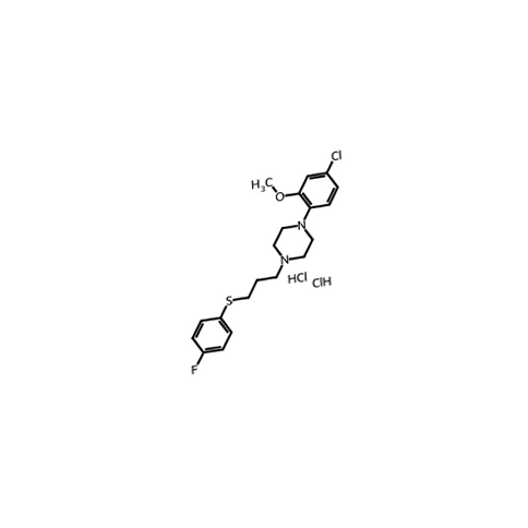 COc1cc(Cl)ccc1N1CCN(CCCSc2ccc(F)cc2)CC1.Cl.Cl